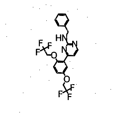 FC(F)(F)COc1ccc(OCC(F)(F)F)c(-c2ccnc(NCc3ccccc3)n2)c1